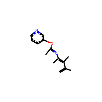 C=C(C)/C(C)=C(C)/N=C(\C)Oc1cccnc1